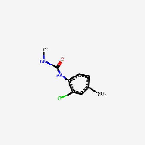 CC(C)NC(=O)Nc1ccc([N+](=O)[O-])cc1Cl